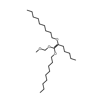 CCCCCCCCCOC(CCCCC)=C(OCCCCCCCCC)OCOC